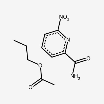 CCCOC(C)=O.NC(=O)c1cccc([N+](=O)[O-])n1